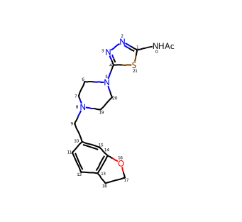 CC(=O)Nc1nnc(N2CCN(Cc3ccc4c(c3)OCC4)CC2)s1